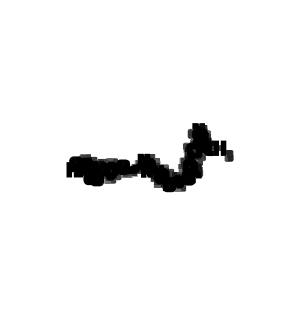 Cn1c2ccncc2c2ccc(-c3ccc(OC4CC(OC5CCN(c6ccnc(C#CCOc7ccc8c(c7)CN(C7CCC(=O)NC7=O)C8=O)n6)CC5)C4)nc3)cc21